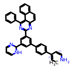 C/C=C(\C=C/N)c1ccc(-c2cc(-c3nc(-c4ccccc4)c4c(ccc5ccccc54)n3)cc(C3N=CC=CN3)c2)cc1